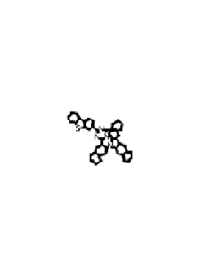 c1ccc(-c2nc(-c3ccc4c(c3)sc3ccccc34)nc(-c3cc4ccccc4cc3-n3c4ccccc4c4cc5ccccc5cc43)n2)cc1